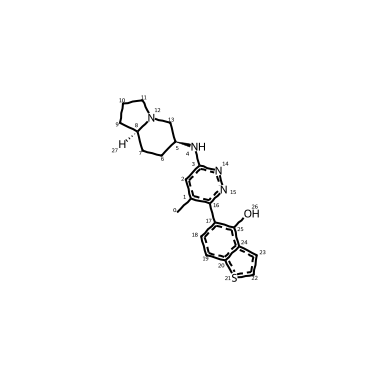 Cc1cc(N[C@H]2CC[C@H]3CCCN3C2)nnc1-c1ccc2sccc2c1O